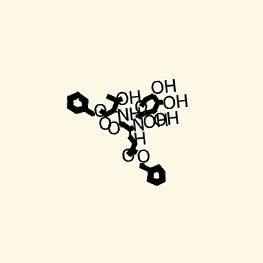 CC(O)[C@H](NC(=O)[C@H](CCC(=O)OCc1ccccc1)NCC1(O)OCC(O)C(O)C1O)C(=O)OCc1ccccc1